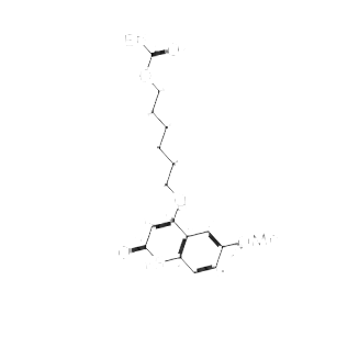 CCC(=O)OCCCCCCOc1cc(=O)sc2ccc(OC)cc12